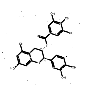 O=C(O[C@H]1Cc2c(O)cc(O)cc2O[C@@H]1c1ccc(O)c(O)c1)c1cc(O)c(O)c(O)c1